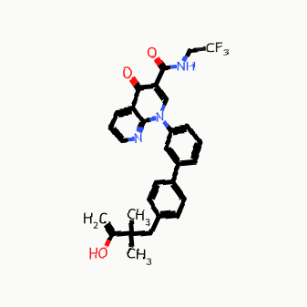 C=C(O)C(C)(C)Cc1ccc(-c2cccc(-n3cc(C(=O)NCC(F)(F)F)c(=O)c4cccnc43)c2)cc1